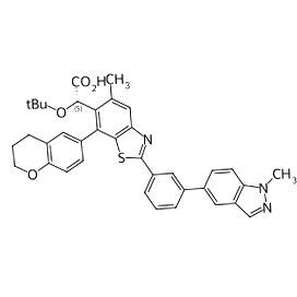 Cc1cc2nc(-c3cccc(-c4ccc5c(cnn5C)c4)c3)sc2c(-c2ccc3c(c2)CCCO3)c1[C@H](OC(C)(C)C)C(=O)O